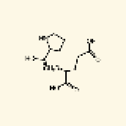 NC(CCC(=O)O)C(=O)O.O=C(O)C1CCCN1